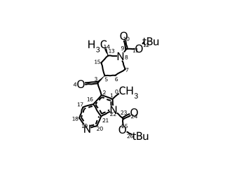 Cc1c(C(=O)[C@@H]2CCN(C(=O)OC(C)(C)C)[C@H](C)C2)c2ccncc2n1C(=O)OC(C)(C)C